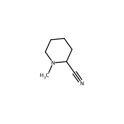 CN1CCCCC1C#N